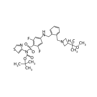 COC(C)(C)C1CN(Cc2ccccc2CNc2cc(F)c(S(=O)(=O)N(C(=O)OC(C)(C)C)c3cscn3)c(F)c2)C1